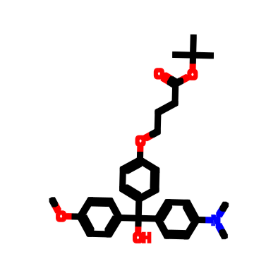 COc1ccc(C(O)(c2ccc(OCCCC(=O)OC(C)(C)C)cc2)c2ccc(N(C)C)cc2)cc1